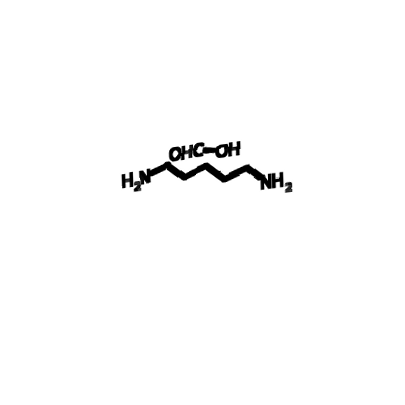 NCCCCCN.O=CO